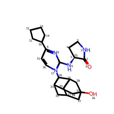 O=C1NCC[C@@H]1NC1N=C(C2CCCC2)C=CN1C1C2CC3CC1CC(O)(C3)C2